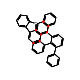 c1ccc(-c2ccccc2-c2c(-c3ccccc3)cccc2N(c2ccccc2)c2cccc3c2oc2ccccc23)cc1